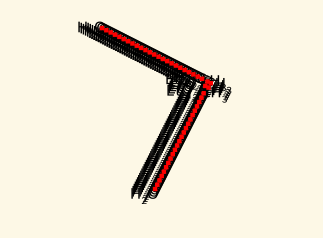 CCOC(C)=O.CCOC(C)=O.CCOC(C)=O.CCOC(C)=O.CCOC(C)=O.CCOC(C)=O.O.O.O.O.O.O.O.O.O.O.O.O.O.O.O.O.O.O.O.O.O.O.O.O.O.O.O.O.O.O.O.O.O.O.O.O.O.O.O.O.O.O.O.O.O.O.O.O.O.O.O.O.O.O.O.O.O.O.O.O.O.O.O.O.O.O.O.O.O.O.O.O.O.O.O.O.O.O.O.O.O.O.O.O.O.O.O.O.O.O.O.O.O.O